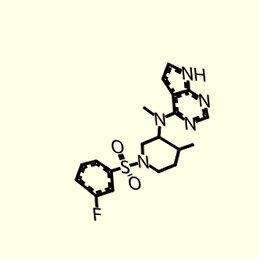 CC1CCN(S(=O)(=O)c2cccc(F)c2)CC1N(C)c1ncnc2[nH]ccc12